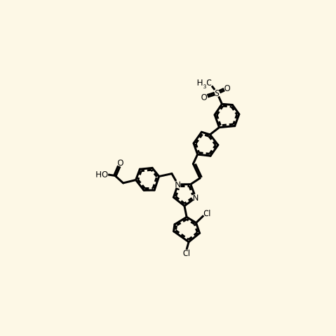 CS(=O)(=O)c1cccc(-c2ccc(/C=C/c3nc(-c4ccc(Cl)cc4Cl)cn3Cc3ccc(CC(=O)O)cc3)cc2)c1